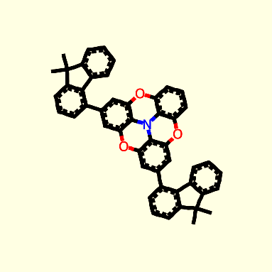 CC1(C)c2ccccc2-c2c(-c3cc4c5c(c3)Oc3cc(-c6cccc7c6-c6ccccc6C7(C)C)cc6c3N5c3c(cccc3O6)O4)cccc21